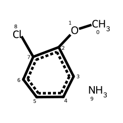 COc1ccccc1Cl.N